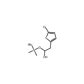 CC(C)(C)[Si](C)(C)OC(O)Cc1ccc(Cl)s1